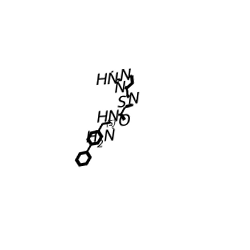 CNc1nccc(-c2ncc(C(=O)N[C@H](CN)Cc3ccc(-c4ccccc4)cc3)s2)n1